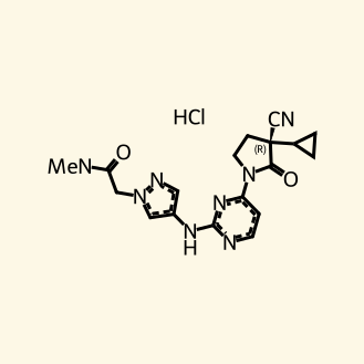 CNC(=O)Cn1cc(Nc2nccc(N3CC[C@](C#N)(C4CC4)C3=O)n2)cn1.Cl